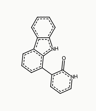 O=c1[nH]cccc1-c1cccc2c1[nH]c1ccccc12